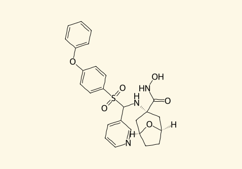 O=C(NO)[C@@]1(NC(c2cccnc2)S(=O)(=O)c2ccc(Oc3ccccc3)cc2)C[C@H]2CC[C@@H](C1)O2